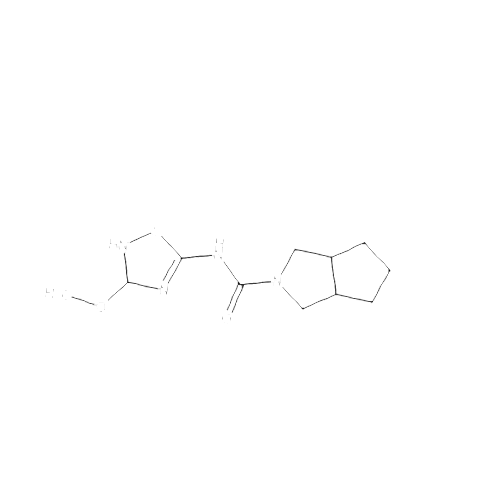 COC1N=C(NC(=O)N2CC3CCCC3C2)SN1